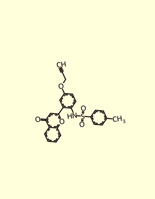 C#CCOc1ccc(NS(=O)(=O)c2ccc(C)cc2)c(-c2cc(=O)c3ccccc3o2)c1